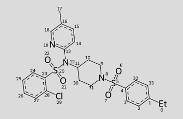 CCc1ccc(S(=O)(=O)N2CCC(N(c3ccc(C)cn3)S(=O)(=O)c3ccccc3Cl)CC2)cc1